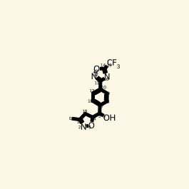 CC1=NOC(C(O)c2ccc(-c3noc(C(F)(F)F)n3)cc2)C1